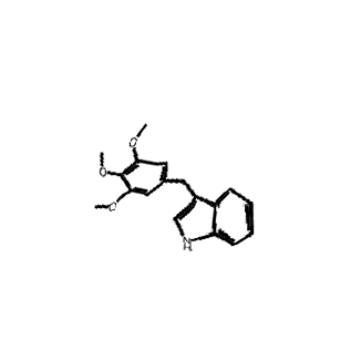 COc1cc(Cc2c[nH]c3ccccc23)cc(OC)c1OC